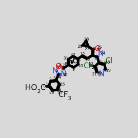 O=C(O)c1cc(-c2noc(C34CCC(C=Cc5c(-c6c(Cl)cncc6Cl)noc5C5CC5)(CC3)CC4)n2)cc(C(F)(F)F)c1